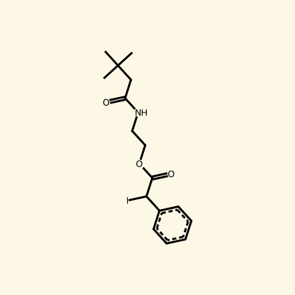 CC(C)(C)CC(=O)NCCOC(=O)C(I)c1ccccc1